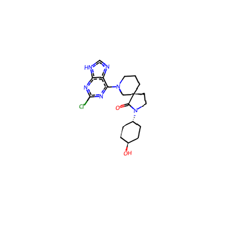 O=C1N([C@H]2CC[C@H](O)CC2)CC[C@@]12CCCN(c1nc(Cl)nc3[nH]cnc13)C2